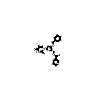 O=C(OC[C@H]1O[C@@H](n2cc(F)c(=O)[nH]c2=O)C[C@@H]1OCc1ccccc1)c1cccnc1